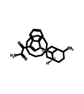 CC1CC[C@H]2C[C@@H](n3cc(C(=O)C(N)=O)c4ccccc43)CC1N2C1CCCCCCCCC1